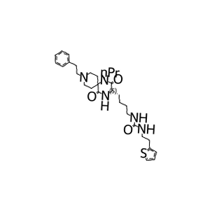 CCCN1C(=O)[C@H](CCCCNC(=O)NCCc2cccs2)NC(=O)C12CCN(CCc1ccccc1)CC2